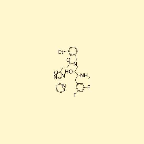 CCc1cccc(CN(C[C@@H](O)[C@@H](N)Cc2cc(F)cc(F)c2)C(=O)CCc2nc(-c3ccccn3)no2)c1